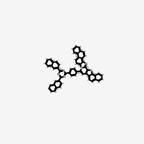 c1ccc2cc(-c3nc(-c4ccc(-c5cc6c7ccc8ccccc8c7sc6c6nc7c8ccc9ccccc9c8ccc7n56)cc4)nc(-c4ccc5ccccc5c4)n3)ccc2c1